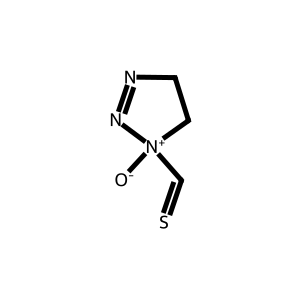 [O-][N+]1(C=S)CCN=N1